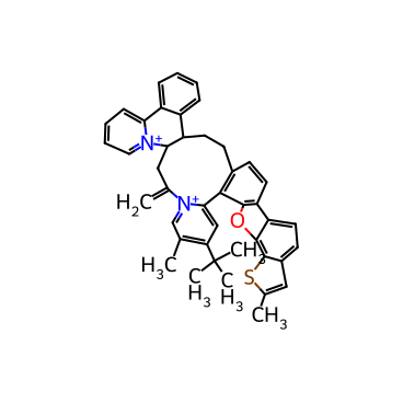 C=C1CC2C(CCc3ccc4c(oc5c4ccc4cc(C)sc45)c3-c3cc(C(C)(C)C)c(C)c[n+]31)c1ccccc1-c1cccc[n+]12